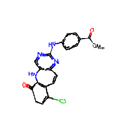 COC(=O)c1ccc(Nc2ncc3c(n2)C=CC2=C(N3)C(=O)CC=C2Cl)cc1